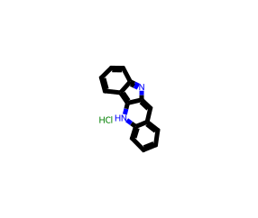 Cl.c1ccc2[nH]c3c4ccccc4nc-3cc2c1